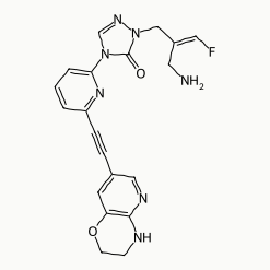 NC/C(=C\F)Cn1ncn(-c2cccc(C#Cc3cnc4c(c3)OCCN4)n2)c1=O